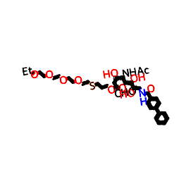 CCOCCOCCOCCOCCSCCCO[C@]1(C=O)C[C@H](O)[C@@H](NC(C)=O)[C@H]([C@H](O)[C@H](O)CNC(=O)c2ccc(-c3ccccc3)cc2)O1